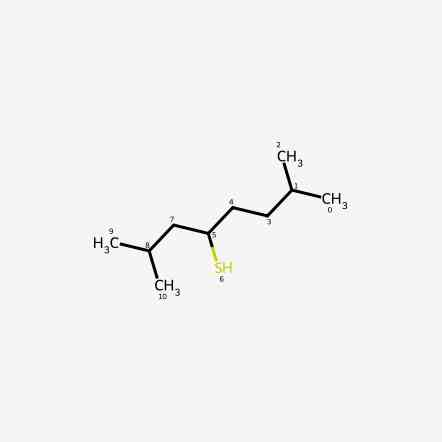 CC(C)CCC(S)CC(C)C